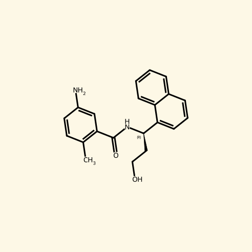 Cc1ccc(N)cc1C(=O)N[C@H](CCO)c1cccc2ccccc12